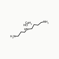 Cl.NCCCCNCCCN.[CaH2]